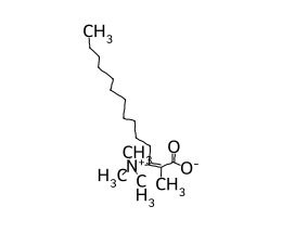 CCCCCCCCCCC/C(=C(/C)C(=O)[O-])[N+](C)(C)C